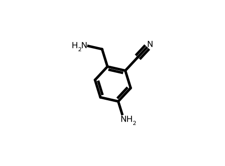 N#Cc1cc(N)ccc1CN